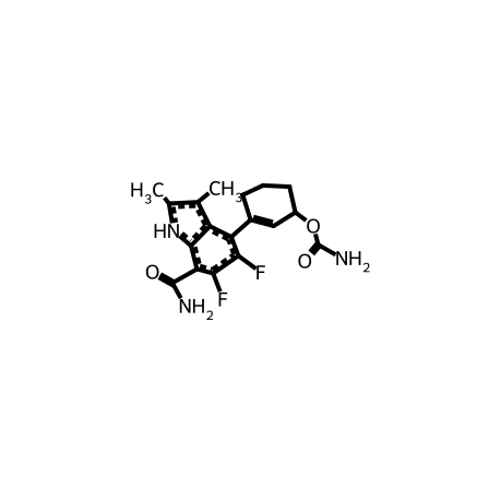 Cc1[nH]c2c(C(N)=O)c(F)c(F)c(C3=CC(OC(N)=O)CCC3)c2c1C